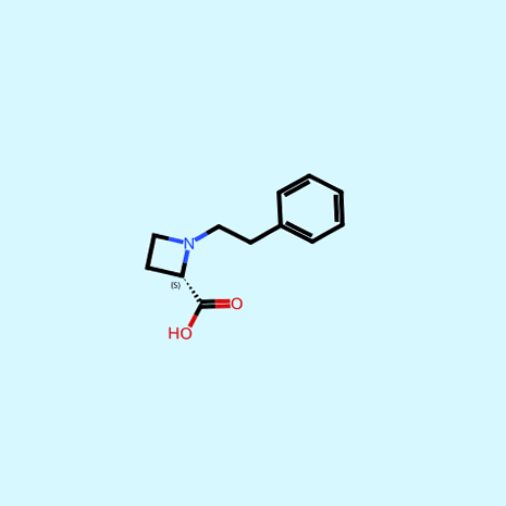 O=C(O)[C@@H]1CCN1CCc1ccccc1